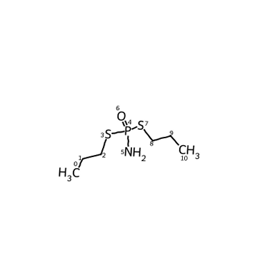 CCCSP(N)(=O)SCCC